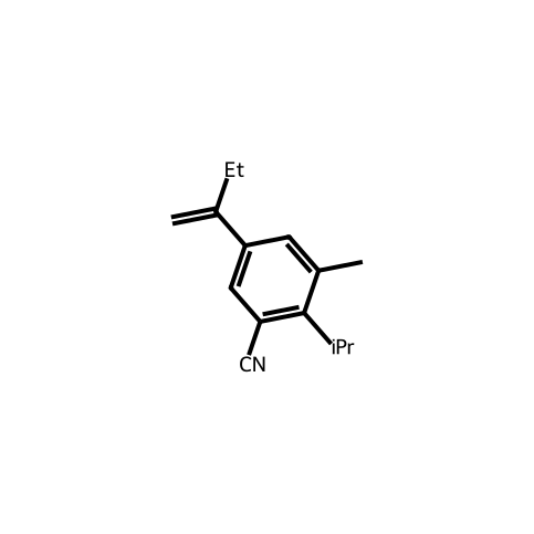 C=C(CC)c1cc(C)c(C(C)C)c(C#N)c1